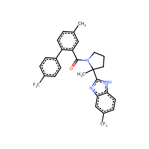 Cc1ccc(-c2ccc(C(F)(F)F)cc2)c(C(=O)N2CCCC2(C)c2nc3cc(C(F)(F)F)ccc3[nH]2)c1